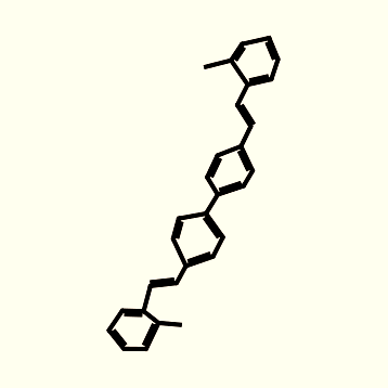 Cc1ccccc1C=Cc1ccc(-c2ccc(C=Cc3ccccc3C)cc2)cc1